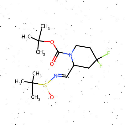 CC(C)(C)OC(=O)N1CCC(F)(F)CC1/C=N/[S@+]([O-])C(C)(C)C